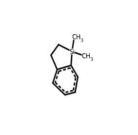 C[Si]1(C)CCc2ccccc21